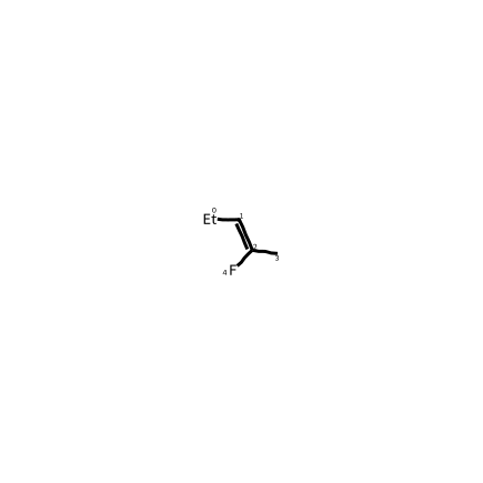 CCC=C(C)F